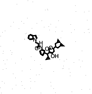 O=C(CCn1ccc2ccccc21)Nc1cccc(C(C2=C(O)CC(C(CC3CC3)CC3CC3)OC2=O)C2CC2)c1